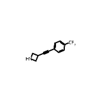 FC(F)(F)c1ccc(C#CC2CNC2)cc1